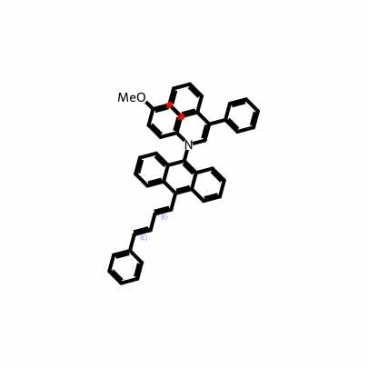 COc1ccc(N(C=C(c2ccccc2)c2ccccc2)c2c3ccccc3c(/C=C/C=C/c3ccccc3)c3ccccc23)cc1